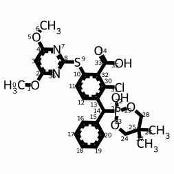 COc1cc(OC)nc(Sc2ccc(C(c3ccccc3)[P]3(O)OCC(C)(C)CO3)c(Cl)c2C(=O)O)n1